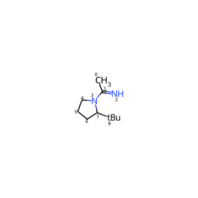 CC(=N)N1CCCC1C(C)(C)C